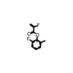 C=C(F)C(=O)Oc1c(C)cccc1F